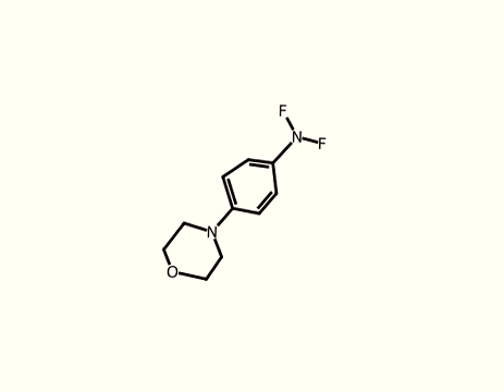 FN(F)c1ccc(N2CCOCC2)cc1